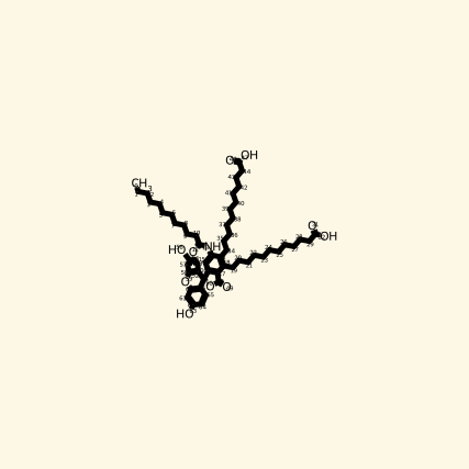 CCCCCCCCCCCC(=O)Nc1cc2c(c(CCCCCCCCCCCC(=O)O)c1CCCCCCCCCCCC(=O)O)C(=O)OC21c2ccc(O)cc2Oc2cc(O)ccc21